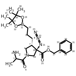 CC(N)C(=O)N1C[C@H](CCCB2OC(C)(C)C(C)(C)O2)[C@](N=[N+]=[N-])(C(=O)OCc2ccccc2)C1